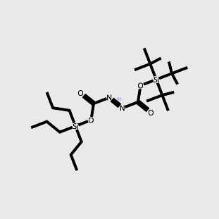 CCC[Si](CCC)(CCC)OC(=O)/N=N/C(=O)O[Si](C(C)(C)C)(C(C)(C)C)C(C)(C)C